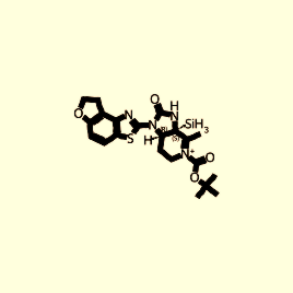 CC1=[N+](C(=O)OC(C)(C)C)CC[C@H]2N(c3nc4c5c(ccc4s3)OCC5)C(=O)N[C@@]12[SiH3]